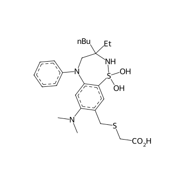 CCCCC1(CC)CN(c2ccccc2)c2cc(N(C)C)c(CSCC(=O)O)cc2S(O)(O)N1